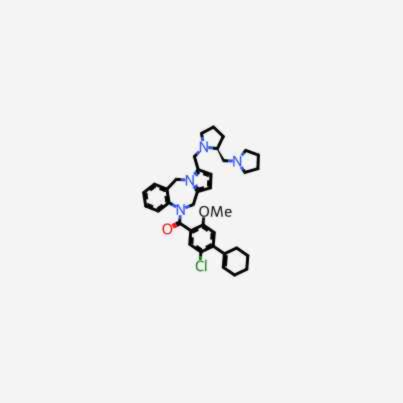 COc1cc(C2=CCCCC2)c(Cl)cc1C(=O)N1Cc2ccc(CN3CCC[C@H]3CN3CCCC3)n2Cc2ccccc21